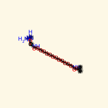 Nc1nc(OCc2ccc(CNC(=O)CCOCCOCCOCCOCCOCCOCCOCCOCCOCCOCCOCCOCCNC(=O)OCC3c4ccccc4-c4ccccc43)cc2)c2nc[nH]c2n1